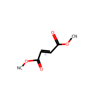 N#COC(=O)/C=C/C(=O)OC#N